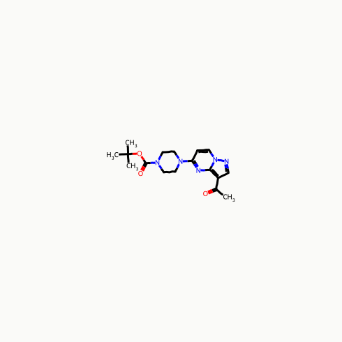 CC(=O)c1cnn2ccc(N3CCN(C(=O)OC(C)(C)C)CC3)nc12